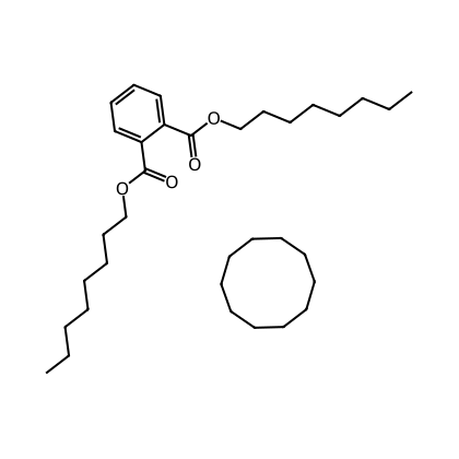 C1CCCCCCCCC1.CCCCCCCCOC(=O)c1ccccc1C(=O)OCCCCCCCC